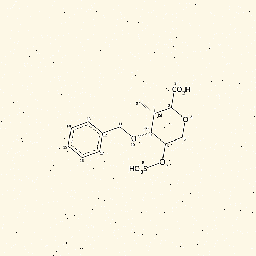 C[C@@H]1C(C(=O)O)OCC(OS(=O)(=O)O)[C@@H]1OCc1ccccc1